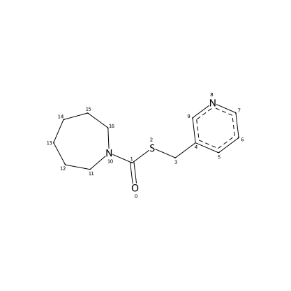 O=C(SCc1cccnc1)N1CCCCCC1